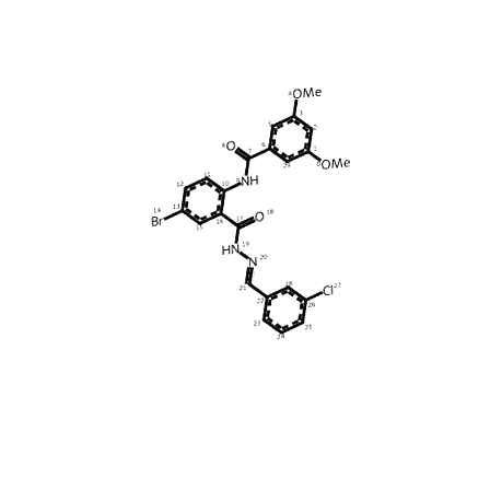 COc1cc(OC)cc(C(=O)Nc2ccc(Br)cc2C(=O)N/N=C/c2cccc(Cl)c2)c1